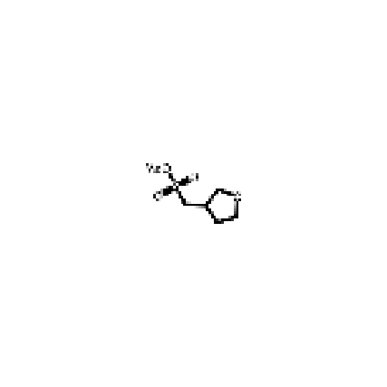 COS(=O)(=O)CC1CCOC1